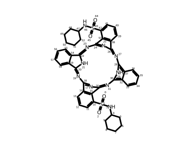 O=S(=O)(NC1CCCCC1)c1cccc2c1-c1nc-2nc2[nH]c(nc3nc(nc4[nH]c(n1)c1ccccc41)-c1cccc(S(=O)(=O)NC4CCCCC4)c1-3)c1ccccc21